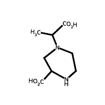 CC(C(=O)O)N1CCNC(C(=O)O)C1